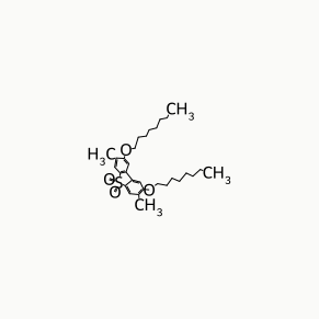 CCCCCCCCOc1cc2c(cc1C)S(=O)(=O)c1cc(C)c(OCCCCCCCC)cc1-2